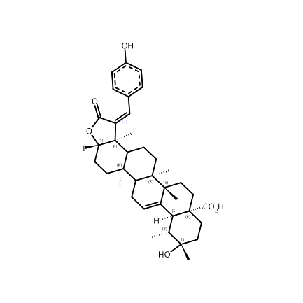 C[C@@H]1[C@H]2C3=CCC4[C@@]5(C)CC[C@@H]6OC(=O)/C(=C\c7ccc(O)cc7)[C@@]6(C)C5CC[C@@]4(C)[C@]3(C)CC[C@@]2(C(=O)O)CC[C@]1(C)O